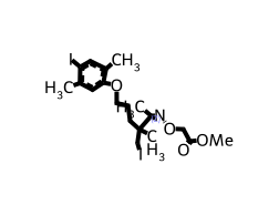 COC(=O)CO/N=C(/C)C(C)(CI)CCCOc1cc(C)c(I)cc1C